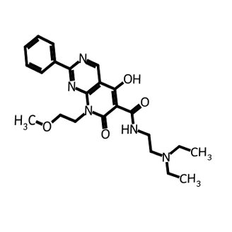 CCN(CC)CCNC(=O)c1c(O)c2cnc(-c3ccccc3)nc2n(CCOC)c1=O